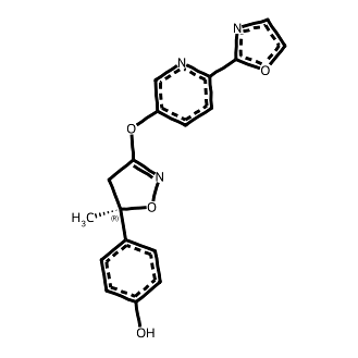 C[C@]1(c2ccc(O)cc2)CC(Oc2ccc(-c3ncco3)nc2)=NO1